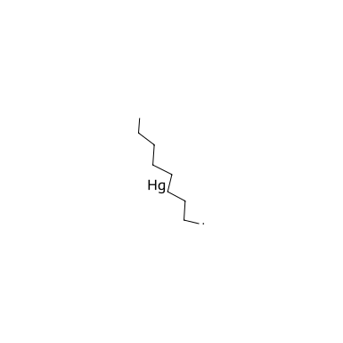 [CH2]CCCCCCCC.[Hg]